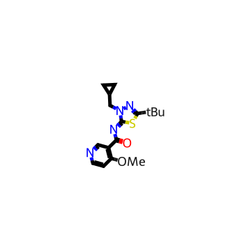 COc1ccncc1C(=O)/N=c1\sc(C(C)(C)C)nn1CC1CC1